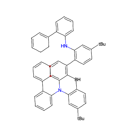 CC(C)(C)c1ccc(-c2cccc3c2Bc2ccc(C(C)(C)C)cc2N3c2ccccc2C2=CC=CCC2)c(Nc2ccccc2C2=CC=CCC2)c1